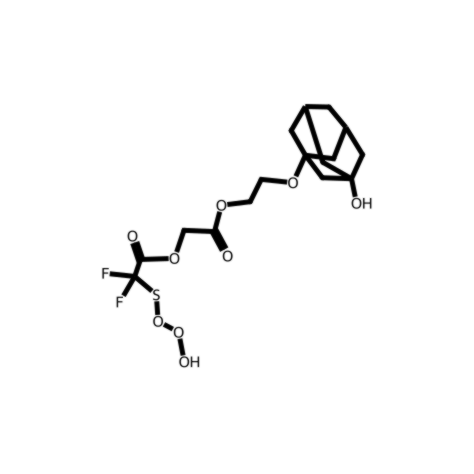 O=C(COC(=O)C(F)(F)SOOO)OCCOC12CC3CC(CC(O)(C3)C1)C2